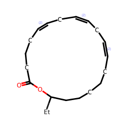 CCC1CCCCC/C=C\C/C=C\C/C=C\CCCC(=O)O1